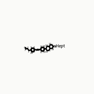 C=CCCc1ccc(C#Cc2ccc(C3CCC4CC(CCCCCCC)CCC4C3)cc2)cc1